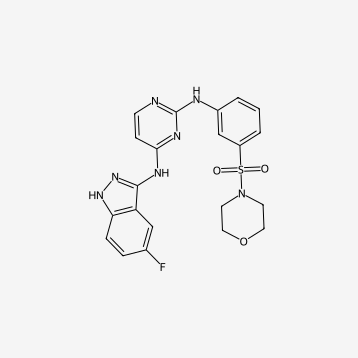 O=S(=O)(c1cccc(Nc2nccc(Nc3n[nH]c4ccc(F)cc34)n2)c1)N1CCOCC1